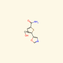 NC(=O)c1ccc(-c2cnco2)s1.O=CO